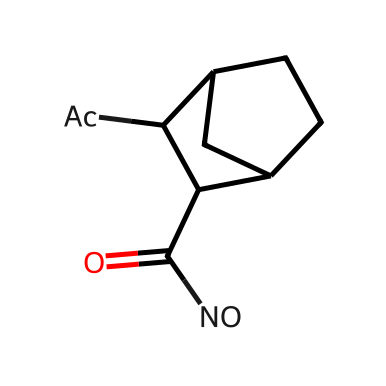 CC(=O)C1C2CCC(C2)C1C(=O)N=O